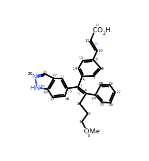 COCCC/C(=C(/c1ccc(/C=C/C(=O)O)cc1)c1ccc2[nH]ncc2c1)c1ccccc1